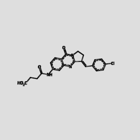 O=C(O)CCC(=O)Nc1ccc2c(=O)n3c(nc2c1)C(=Cc1ccc(Cl)cc1)CC3